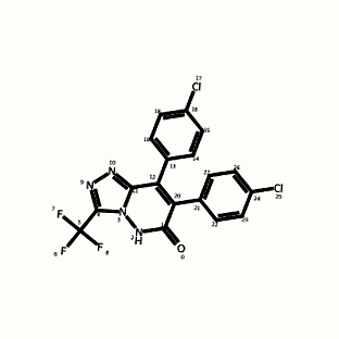 O=c1[nH]n2c(C(F)(F)F)nnc2c(-c2ccc(Cl)cc2)c1-c1ccc(Cl)cc1